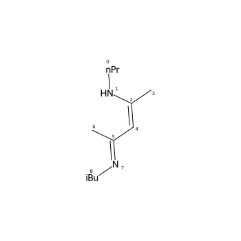 CCCN/C(C)=C\C(C)=N\C(C)CC